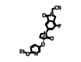 CCOc1ccc(O[C@@H]2CCN(c3cc(F)c4c(c3)C(=O)N(CC#N)C4)C2=O)cn1